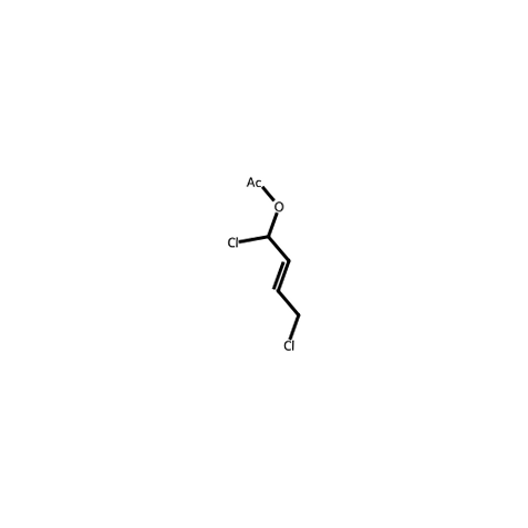 CC(=O)OC(Cl)C=CCCl